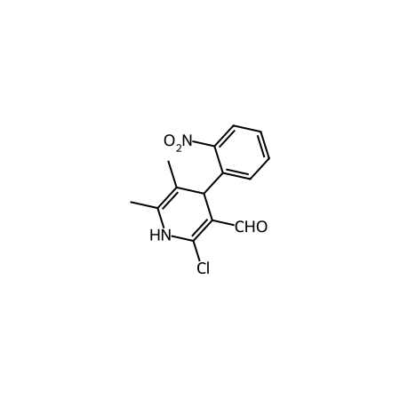 CC1=C(C)C(c2ccccc2[N+](=O)[O-])C(C=O)=C(Cl)N1